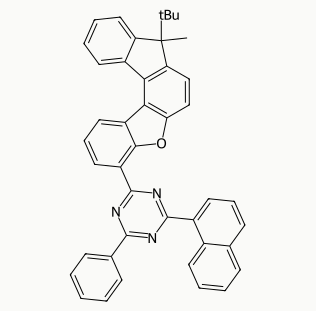 CC(C)(C)C1(C)c2ccccc2-c2c1ccc1oc3c(-c4nc(-c5ccccc5)nc(-c5cccc6ccccc56)n4)cccc3c21